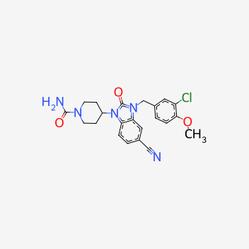 COc1ccc(Cn2c(=O)n(C3CCN(C(N)=O)CC3)c3ccc(C#N)cc32)cc1Cl